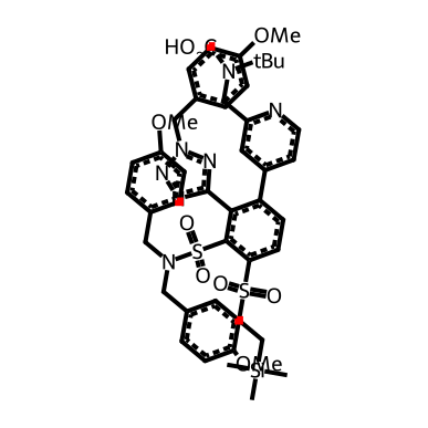 COc1ccc(CN(Cc2ccc(OC)cc2)S(=O)(=O)c2c(S(=O)(=O)CC[Si](C)(C)C)ccc(-c3ccnc(CN(C(=O)O)C(C)(C)C)c3)c2-c2nnn(Cc3ccc(OC)cc3)n2)cc1